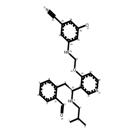 CC(C)CN[C@@H](Cc1ccccc1C=O)c1cnccc1OCNc1cc(Cl)cc(C#N)c1